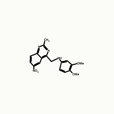 COc1ccc(NCc2nc(C)nc3ccc([N+](=O)[O-])cc23)cc1OC